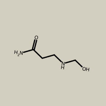 NC(=O)CCNCO